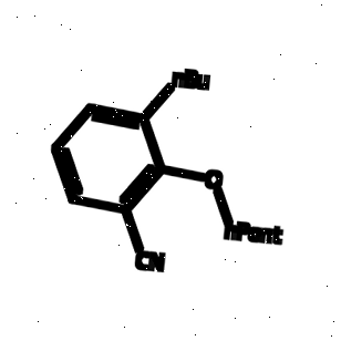 CCCCCOc1c(C#N)cccc1CCCC